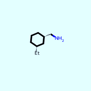 CC[C@@H]1CCC[C@H](CN)C1